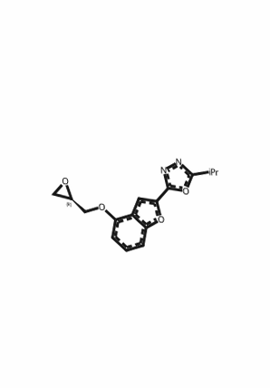 CC(C)c1nnc(-c2cc3c(OC[C@H]4CO4)cccc3o2)o1